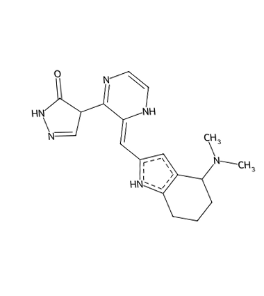 CN(C)C1CCCc2[nH]c(C=C3NC=CN=C3C3C=NNC3=O)cc21